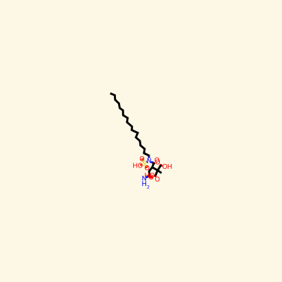 CCCCCCCCCCCCCCCCCCN(C(=O)C(CC(N)=O)C(C)(C(=O)O)C(=O)O)S(=O)(=O)O